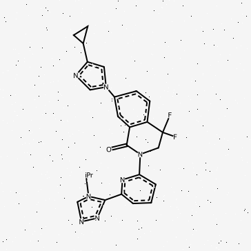 CC(C)n1cnnc1-c1cccc(N2CC(F)(F)c3ccc(-n4cnc(C5CC5)c4)cc3C2=O)n1